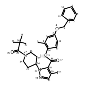 Cc1cc(OCc2ccccc2)ccc1NC(=O)c1c(I)cnn1C1CCN(C(=O)C(C)(C)C)CC1